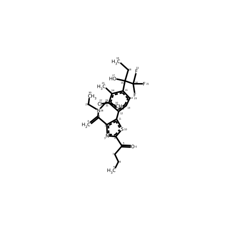 C=C(c1nc(C(=O)CCC)sc1-c1ccc(C(O)(CC)C(F)(F)F)c(C)c1Cl)N(CC)CC